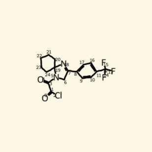 O=C(Cl)C(=O)N1CC(c2ccc(C(F)(F)F)cc2)=NC12CCCCC2